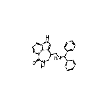 O=C1NCC(CNC(c2ccccc2)c2ccccc2)c2c[nH]c3cccc1c23